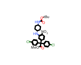 COC(=O)C(c1ccc(Cl)cc1)(c1ccc(Cl)cc1)c1ccc([N+](=O)[O-])c(N[C@H]2CC[C@H](NC(=O)OC(C)(C)C)CC2)c1